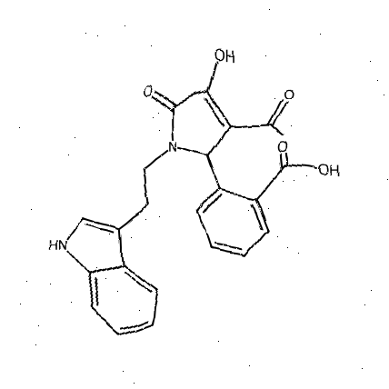 CC(=O)C1=C(O)C(=O)N(CCc2c[nH]c3ccccc23)C1c1ccccc1C(=O)O